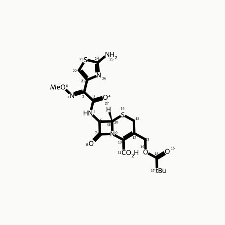 CON=C(C(=O)NC1C(=O)N2C(C(=O)O)=C(COC(=O)C(C)(C)C)CS[C@@H]12)c1csc(N)n1